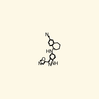 N#Cc1ccc2c(c1)CCCC[C@@H]2Nc1ccc2[nH]nc(-c3cnco3)c2c1